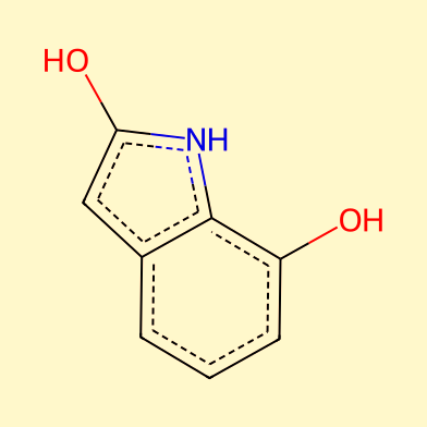 Oc1cc2cccc(O)c2[nH]1